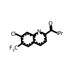 CC(C)C(=O)c1ccc2cc(C(F)(F)F)c(Cl)cc2n1